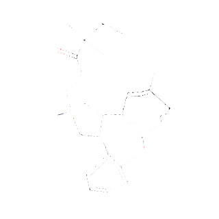 CCC(C)(C)C(=O)OC[N+]1(C)CC2c3ccccc3Oc3ccc(Cl)cc3C2C1